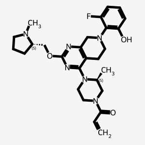 C=CC(=O)N1CCN(c2nc(OC[C@@H]3CCCN3C)nc3c2CCN(c2c(O)cccc2F)C3)[C@@H](C)C1